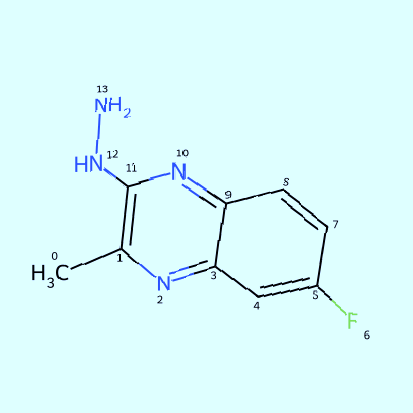 Cc1nc2cc(F)ccc2nc1NN